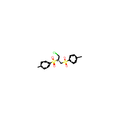 Cc1ccc(S(=O)(=O)C[C@H](CCl)S(=O)(=O)c2ccc(C)cc2)cc1